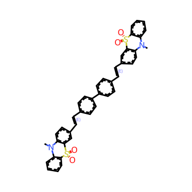 CN1c2ccccc2S(=O)(=O)c2cc(/C=C/c3ccc(-c4ccc(/C=C/c5ccc6c(c5)S(=O)(=O)c5ccccc5N6C)cc4)cc3)ccc21